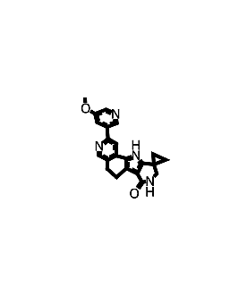 COc1cncc(-c2cc3c(cn2)CCc2c-3[nH]c3c2C(=O)NCC32CC2)c1